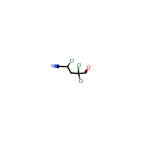 N#CC(Cl)CC(Cl)(Cl)[C]=O